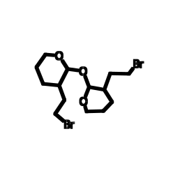 BrCCC1CCCOC1OC1OCCCC1CCBr